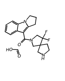 O=C(c1c2n(c3ccccc13)CCC2)N1CC(F)(F)C2(CCNC2)C1.O=CO